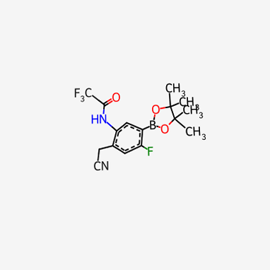 CC1(C)OB(c2cc(NC(=O)C(F)(F)F)c(CC#N)cc2F)OC1(C)C